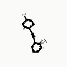 CCc1ccc(C#Cc2ccccc2[N+](=O)[O-])cc1